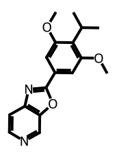 COc1cc(-c2nc3ccncc3o2)cc(OC)c1C(C)C